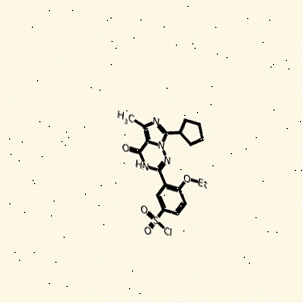 CCOc1ccc(S(=O)(=O)Cl)cc1-c1nn2c(C3CCCC3)nc(C)c2c(=O)[nH]1